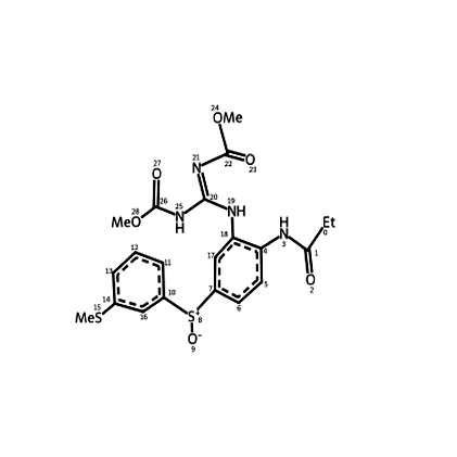 CCC(=O)Nc1ccc([S+]([O-])c2cccc(SC)c2)cc1NC(=NC(=O)OC)NC(=O)OC